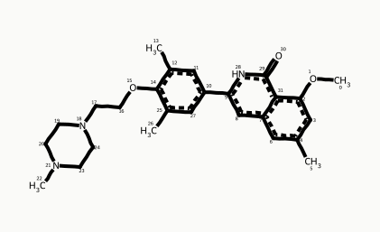 COc1cc(C)cc2cc(-c3cc(C)c(OCCN4CCN(C)CC4)c(C)c3)[nH]c(=O)c12